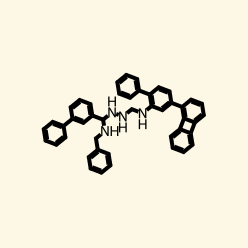 c1ccc(CNC(NNCNc2cc(-c3cccc4c3-c3ccccc3-4)ccc2-c2ccccc2)c2cccc(-c3ccccc3)c2)cc1